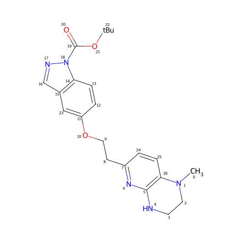 CN1CCNc2nc(CCOc3ccc4c(cnn4C(=O)OC(C)(C)C)c3)ccc21